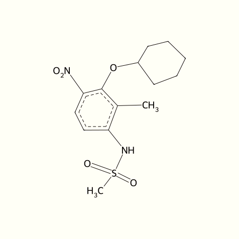 Cc1c(NS(C)(=O)=O)ccc([N+](=O)[O-])c1OC1CCCCC1